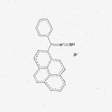 N=[N+]=C(c1ccccc1)c1ccc2ccc3cccc4ccc1c2c34.[Br-]